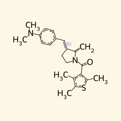 C=C1/C(=C/c2ccc(N(C)C)cc2)CCN1C(=O)c1c(C)sc(C)c1C